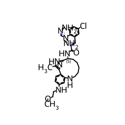 COCCNc1ccc2c(c1)NCCCCC[C@H](NC(=O)/C=C/c1cc(Cl)ccc1N(N)/C=N\N)c1nc-2c(C)[nH]1